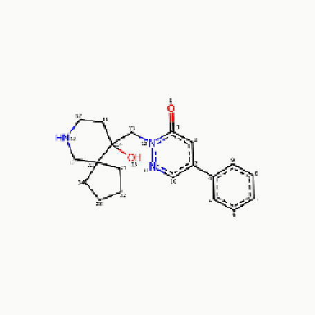 O=c1cc(-c2ccccc2)cnn1CC1(O)CCNCC12CCCC2